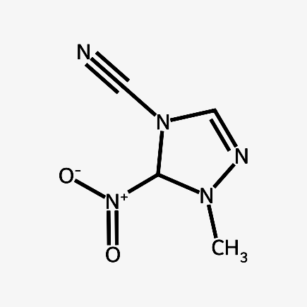 CN1N=CN(C#N)C1[N+](=O)[O-]